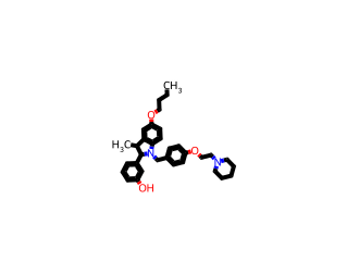 CCCCOc1ccc2c(c1)C(C)C(c1cccc(O)c1)N2Cc1ccc(OCCN2CCCCC2)cc1